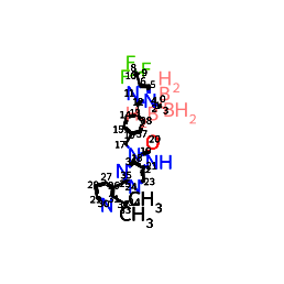 BC(B)(B)n1cc(C(F)(F)F)nc1-c1ccc(Cn2c(=O)[nH]c3cnc(-c4cccnc4C(C)C)nc32)cc1